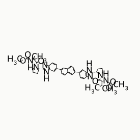 COC(=O)N[C@@H](C)C(=O)N1CCC[C@H]1c1nc2ccc(-c3ccc4cc(-c5ccc6nc([C@@H]7CCCN7C(=O)[C@@H](NC(=O)OC)C(C)C)[nH]c6c5)ccc4c3)cc2[nH]1